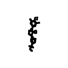 CCC(C)(C)c1ccn(C2CCN(c3cc(C)c(Cl)c(C)c3)C2=O)n1